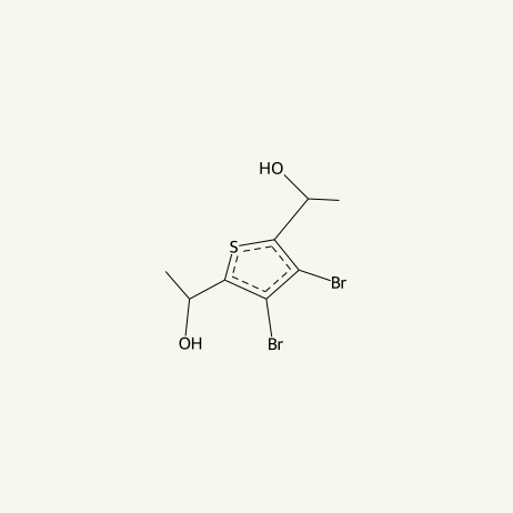 CC(O)c1sc(C(C)O)c(Br)c1Br